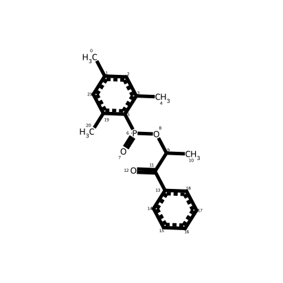 Cc1cc(C)c([P](=O)OC(C)C(=O)c2ccccc2)c(C)c1